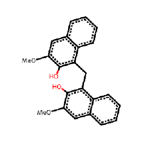 COc1cc2ccccc2c(Cc2c(O)c(OC)cc3ccccc23)c1O